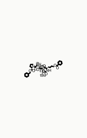 CC[C@H](C)[C@H](NC(=O)[C@](C)(CC)NC(=O)[C@H](CCCCOC(=O)c1ccccc1)NC(=O)OC(C)(C)C)C(=O)N1CCC[C@@H]1C(=O)OCc1ccccc1